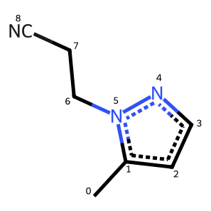 Cc1ccnn1CCC#N